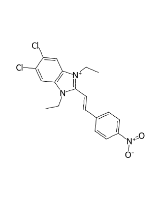 CCn1c(C=Cc2ccc([N+](=O)[O-])cc2)[n+](CC)c2cc(Cl)c(Cl)cc21